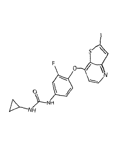 O=C(Nc1ccc(Oc2ccnc3cc(I)sc23)c(F)c1)NC1CC1